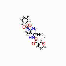 O=C(ONc1c([N+](=O)[O-])cnc2c1ccn2S(=O)(=O)c1ccccc1)C1CCCOC1